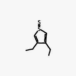 CCC1=CS(=S)C=C1CC